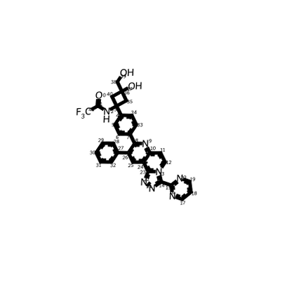 O=C(NC1(c2ccc(-c3nc4ccn5c(-c6ncccn6)nnc5c4cc3-c3ccccc3)cc2)CC(O)(CO)C1)C(F)(F)F